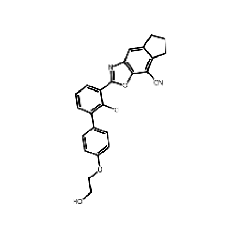 N#Cc1c2c(cc3nc(-c4cccc(-c5ccc(OCCO)cc5)c4Cl)oc13)CCC2